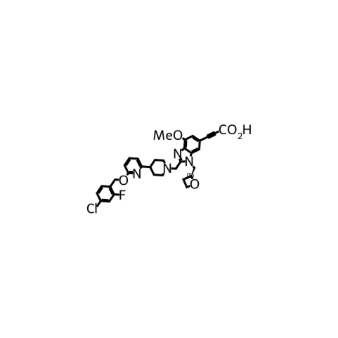 COc1cc(C#CC(=O)O)cc2c1nc(CN1CCC(c3cccc(OCc4ccc(Cl)cc4F)n3)CC1)n2C[C@@H]1CCO1